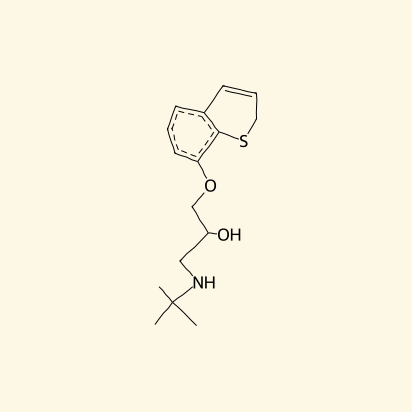 CC(C)(C)NCC(O)COc1cccc2c1SCC=C2